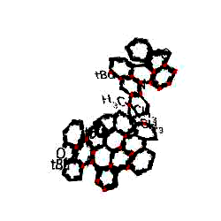 CC(C)(C)c1cc(-c2cccc3cccc(-c4ccccc4N(c4cccc(-c5cccc6c5ccc5c(CC(C)(C)c7cc(-c8cccc9cccc(-c%10ccccc%10N(C%10=CCC(C)(c%11ccc%12ccccc%12c%11)C=C%10)c%10cccc%11oc%12ccccc%12c%10%11)c89)cc(C(C)(C)C)c7)cccc56)c4)c4cccc5oc6ccccc6c45)c23)cc(C(C)(C)C)c1